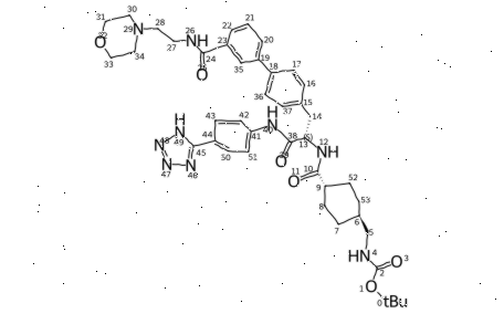 CC(C)(C)OC(=O)NC[C@H]1CC[C@H](C(=O)N[C@@H](Cc2ccc(-c3cccc(C(=O)NCCN4CCOCC4)c3)cc2)C(=O)Nc2ccc(-c3nnn[nH]3)cc2)CC1